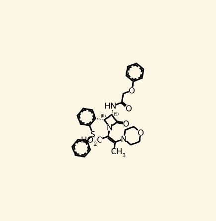 CC(=C(C(=O)O)N1C(=O)[C@@H](NC(=O)COc2ccccc2)[C@H]1c1ccccc1Sc1ccccc1)N1CCOCC1